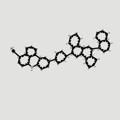 N#Cc1ccc2c3c(cccc13)-c1cc(-c3ccc(-c4cc5c6ccccc6c(-c6cccc7ccccc67)cc5c5ccccc45)cc3)ccc1O2